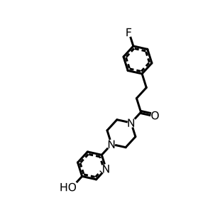 O=C(CCc1ccc(F)cc1)N1CCN(c2ccc(O)cn2)CC1